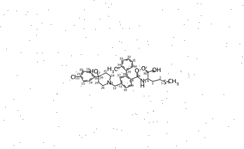 CSCCC(NC(=O)c1ccc(CN2CCC(O)(c3ccc(Cl)cc3)CC2)cc1-c1ccccc1C)C(=O)O